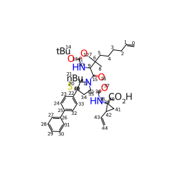 C=CCCCCC(C)(C)C(NC(=O)OC(C)(C)C)C(=O)N1C[C@](SCCCC)(c2ccc(-c3ccccc3)cc2)C[C@H]1C(=O)NC1(C(=O)O)CC1C=C